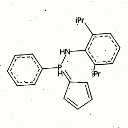 CC(C)c1cccc(C(C)C)c1N[PH](=C1C=CC=C1)c1ccccc1